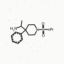 CCCS(=O)(=O)N1CCC(c2ccccc2)(C(C)N)CC1